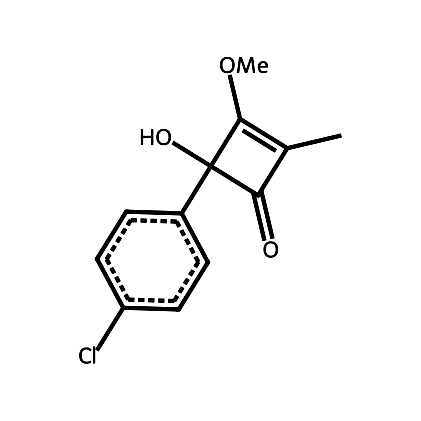 COC1=C(C)C(=O)C1(O)c1ccc(Cl)cc1